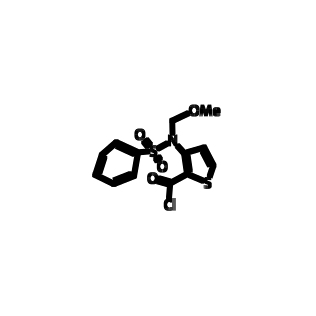 COCN(c1ccsc1C(=O)Cl)S(=O)(=O)c1ccccc1